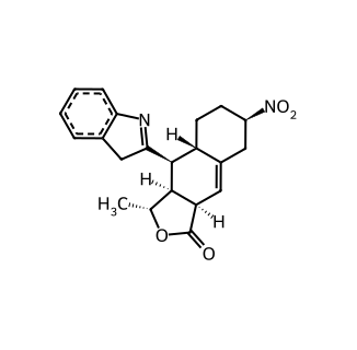 C[C@H]1OC(=O)[C@@H]2C=C3C[C@H]([N+](=O)[O-])CC[C@H]3[C@H](C3=Nc4ccccc4C3)[C@H]12